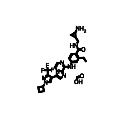 CCc1cc(Nc2nccn3c(-c4cn(C5CCC5)nc4C(F)(F)F)cnc23)ccc1C(=O)NCC1CC1N.O=CO